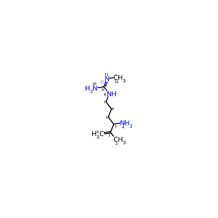 C=C(C)C(N)CCCN/C(N)=N\C